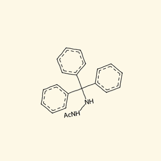 CC(=O)NNC(c1ccccc1)(c1ccccc1)c1ccccc1